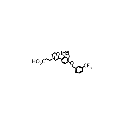 Cl.O=C(O)CCN1CCOC(c2ccc(OCc3cccc(C(F)(F)F)c3)cc2C(F)(F)F)C1